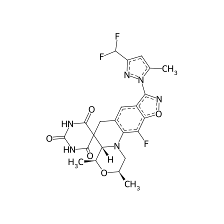 Cc1cc(C(F)F)nn1-c1noc2c(F)c3c(cc12)CC1(C(=O)NC(=O)NC1=O)[C@H]1[C@H](C)O[C@H](C)CN31